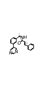 C[C@H](NC(=O)/C=C/c1ccccc1)c1cccc(-c2cncnc2)c1